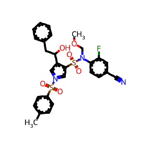 COCN(c1ccc(C#N)cc1F)S(=O)(=O)c1cn(S(=O)(=O)c2ccc(C)cc2)cc1C(O)Cc1ccccc1